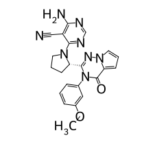 COc1cccc(-n2c([C@@H]3CCCN3c3ncnc(N)c3C#N)nn3cccc3c2=O)c1